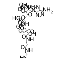 Nc1ncnc2c1ncn2[C@@H]1O[C@H](COP(=O)(O)OP(=O)(O)OCC(C=O)(C=O)[C@@H](O)C(=O)NCCC(=O)NCCS)[C@@H](OP(=O)(O)O)[C@H]1O